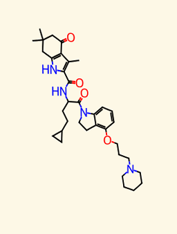 Cc1c(C(=O)NC(CCC2CC2)C(=O)N2CCc3c(OCCCN4CCCCC4)cccc32)[nH]c2c1C(=O)CC(C)(C)C2